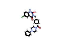 O=c1[nH]c2ccc(Cl)cc2c(=O)n1C[C@H]1CC[C@H](C(=O)N2CCN(c3ccccc3)CC2)CC1